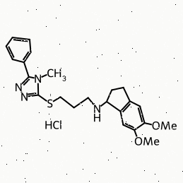 COc1cc2c(cc1OC)C(NCCCSc1nnc(-c3ccccc3)n1C)CC2.Cl